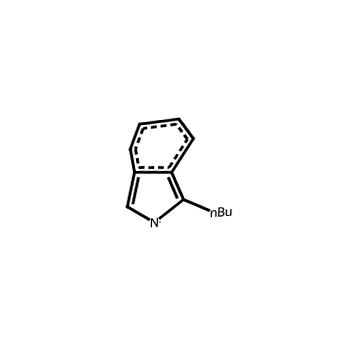 CCCCC1=c2ccccc2=C[N]1